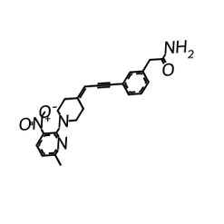 Cc1ccc([N+](=O)[O-])c(N2CCC(=CC#Cc3cccc(CC(N)=O)c3)CC2)n1